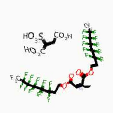 C/C(=C/C(=O)OCCC(F)(F)C(F)(F)C(F)(F)C(F)(F)C(F)(F)C(F)(F)F)C(=O)OCCC(F)(F)C(F)(F)C(F)(F)C(F)(F)C(F)(F)C(F)(F)F.O=C(O)CC(C(=O)O)S(=O)(=O)O